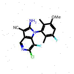 COc1cc(F)c(C)c(-n2c(N)c(C#N)c3cnc(Cl)c(F)c32)c1C